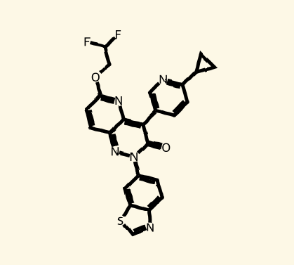 O=c1c(-c2ccc(C3CC3)nc2)c2nc(OCC(F)F)ccc2nn1-c1ccc2ncsc2c1